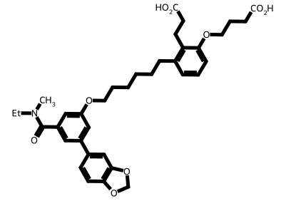 CCN(C)C(=O)c1cc(OCCCCCCc2cccc(OCCCC(=O)O)c2CCC(=O)O)cc(-c2ccc3c(c2)OCO3)c1